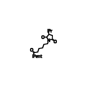 CCCC(C)C(=O)CCCCCN1C(=O)CC(C(C)C)C1=O